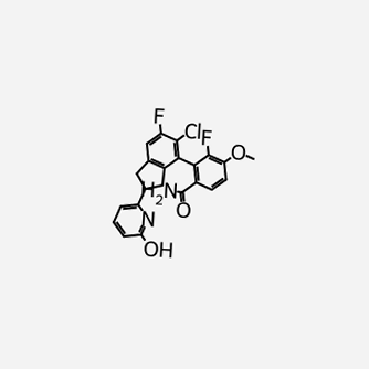 COc1ccc(C(N)=O)c(-c2c(Cl)c(F)cc3c2CC(c2cccc(O)n2)C3)c1F